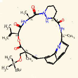 C=C(C)[C@@H]1OC(=O)[C@@](C)(CO[Si](C)(C)C(C)(C)C)/C=C/c2ccc3ccc(nc3c2)[C@@H](C)NC(=O)[C@@H]2CCCN(N2)C(=O)[C@H](C)NC1=O